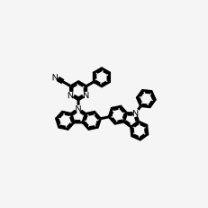 N#Cc1cc(-c2ccccc2)nc(-n2c3ccccc3c3ccc(-c4ccc5c(c4)c4ccccc4n5-c4ccccc4)cc32)n1